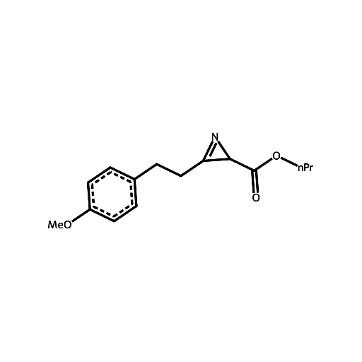 CCCOC(=O)C1N=C1CCc1ccc(OC)cc1